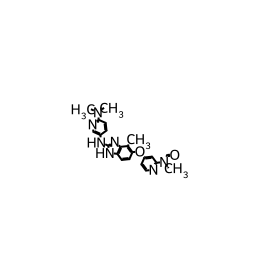 Cc1c(Oc2ccnc(N(C)C=O)c2)ccc2[nH]c(Nc3ccc(N(C)C)nc3)nc12